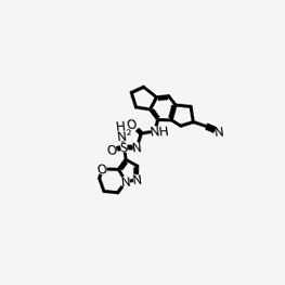 N#CC1Cc2cc3c(c(NC(=O)N=S(N)(=O)c4cnn5c4OCCC5)c2C1)CCC3